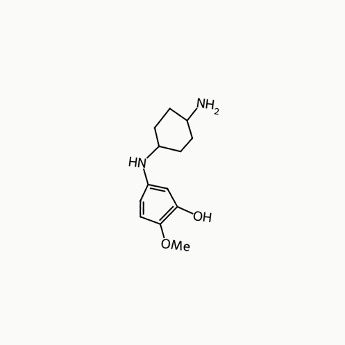 COc1ccc(NC2CCC(N)CC2)cc1O